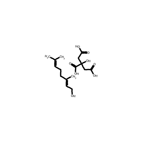 CC(C)=CCC/C(C)=C/CO.O=C(O)CC(O)(CC(=O)O)C(=O)O